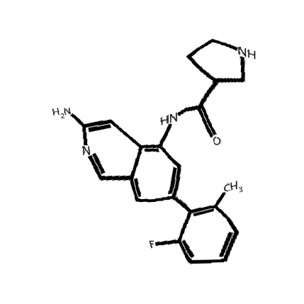 Cc1cccc(F)c1-c1cc(NC(=O)C2CCNC2)c2cc(N)ncc2c1